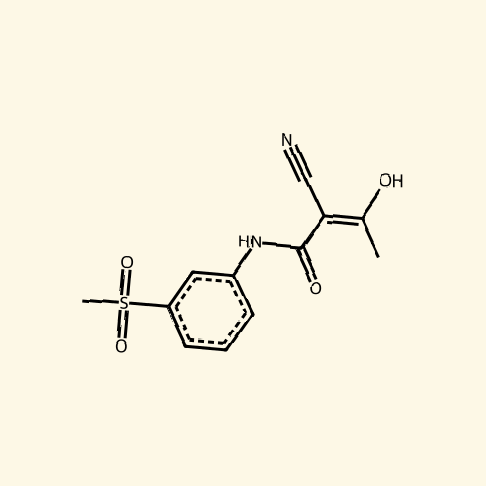 C/C(O)=C(/C#N)C(=O)Nc1cccc(S(C)(=O)=O)c1